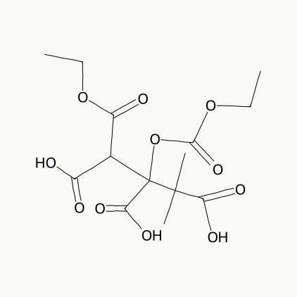 CCOC(=O)OC(C(=O)O)(C(C(=O)O)C(=O)OCC)C(C)(C)C(=O)O